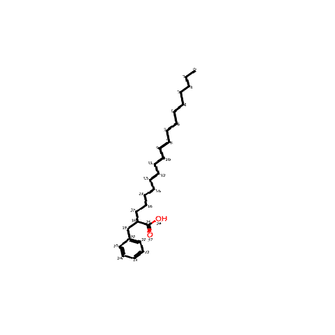 CCCCCCCCCCCCCCCCCCC(Cc1ccccc1)C(=O)O